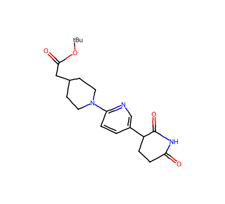 CC(C)(C)OC(=O)CC1CCN(c2ccc(C3CCC(=O)NC3=O)cn2)CC1